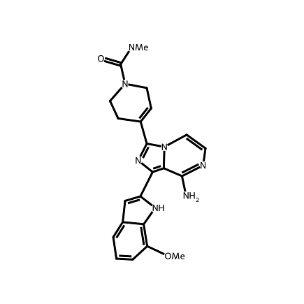 CNC(=O)N1CC=C(c2nc(-c3cc4cccc(OC)c4[nH]3)c3c(N)nccn23)CC1